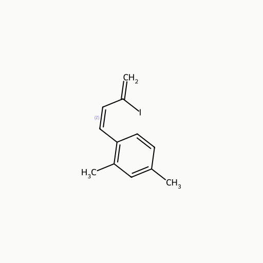 C=C(I)/C=C\c1ccc(C)cc1C